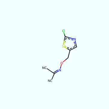 N#CC(C#N)=NOCc1cnc(Cl)s1